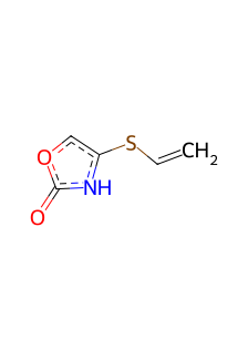 C=CSc1coc(=O)[nH]1